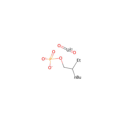 CCCCC(CC)COP(=O)([O-])[O-].[O]=[U+2]=[O]